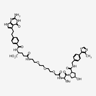 Cc1ncsc1-c1ccc(CNC(=O)C2C[C@@H](O)CN2C(=O)C(NC(=O)COCCOCCOCCNC(=O)CC[C@@H](NC(=O)c2ccc(CCc3c[nH]c4nc(N)[nH]c(=O)c34)cc2)C(=O)O)C(C)(C)C)cc1